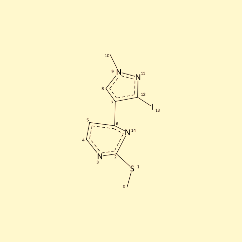 CSc1nccc(-c2cn(C)nc2I)n1